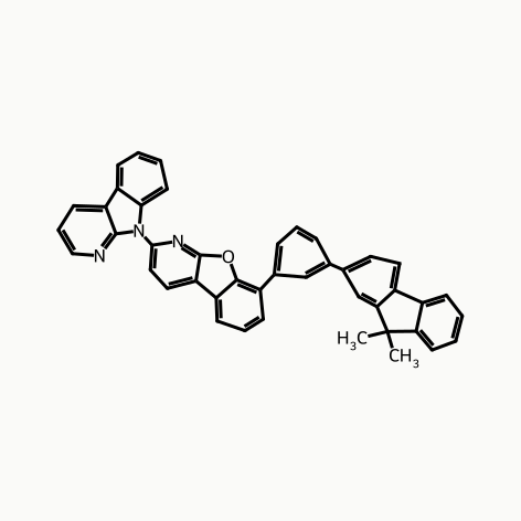 CC1(C)c2ccccc2-c2ccc(-c3cccc(-c4cccc5c4oc4nc(-n6c7ccccc7c7cccnc76)ccc45)c3)cc21